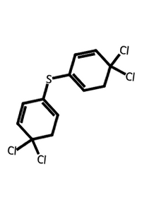 ClC1(Cl)C=CC(SC2=CCC(Cl)(Cl)C=C2)=CC1